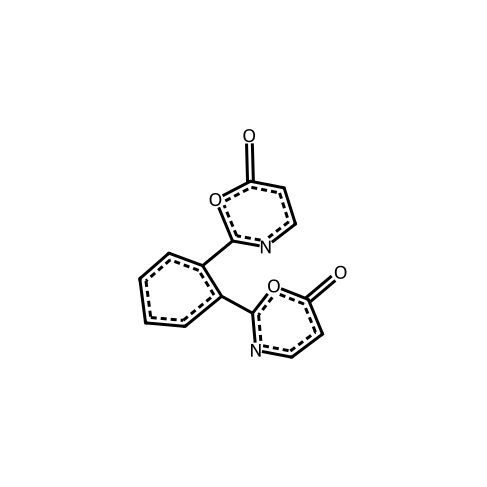 O=c1ccnc(-c2ccccc2-c2nccc(=O)o2)o1